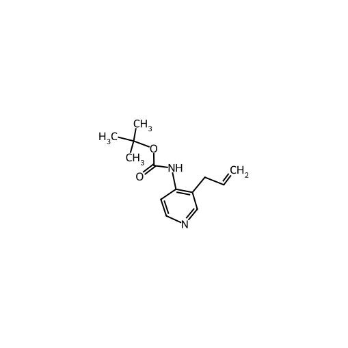 C=CCc1cnccc1NC(=O)OC(C)(C)C